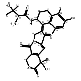 CC[C@@]1(O)C(=O)OCc2c1cc1n(c2=O)Cc2c-1nc1cc(F)c(C)c3c1c2[C@@H](NC(=O)[C@@H](N)C(C)(C)S)CC3